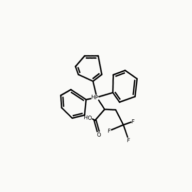 O=C(O)C(CC(F)(F)F)[PH](c1ccccc1)(c1ccccc1)c1ccccc1